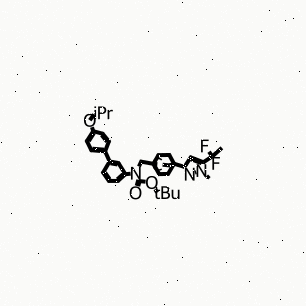 CC(C)Oc1ccc(-c2cccc(N(CC34CCC(c5cc(C(C)(F)F)n(C)n5)(CC3)CC4)C(=O)OC(C)(C)C)c2)cc1